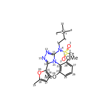 CCS(=O)(=O)N(CC[Si](C)(C)C)c1nnc(-c2ccc(C)o2)n1-c1c(OC)cccc1OC